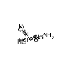 Cc1ccc2c(N3CCN(CCc4cccc(N5CCN(c6cccc(CN)c6)C5=O)c4)CC3)cccc2n1.Cl.Cl